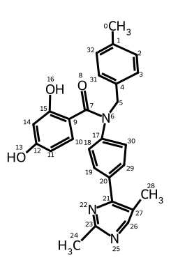 Cc1ccc(CN(C(=O)c2ccc(O)cc2O)c2ccc(-c3nc(C)ncc3C)cc2)cc1